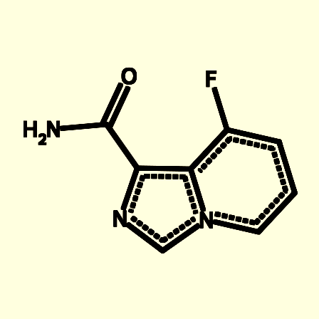 NC(=O)c1ncn2cccc(F)c12